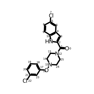 O=C(c1cc2cc(Cl)ccc2[nH]1)N1CCN(Oc2cccc(Cl)c2)CC1